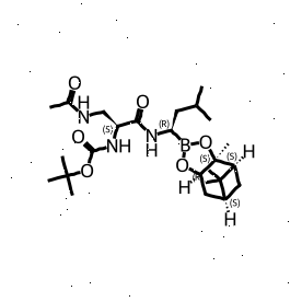 CC(=O)NC[C@H](NC(=O)OC(C)(C)C)C(=O)N[C@@H](CC(C)C)B1O[C@@H]2C[C@@H]3C[C@@H](C3(C)C)[C@]2(C)O1